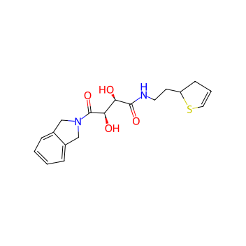 O=C(NCCC1CC=CS1)[C@H](O)[C@@H](O)C(=O)N1Cc2ccccc2C1